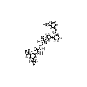 O=C(NCCNS(=O)(=O)c1ccc(-c2ccccc2OCc2cccc(O)c2)s1)Nc1cc(C(F)(F)F)cc(C(F)(F)F)c1